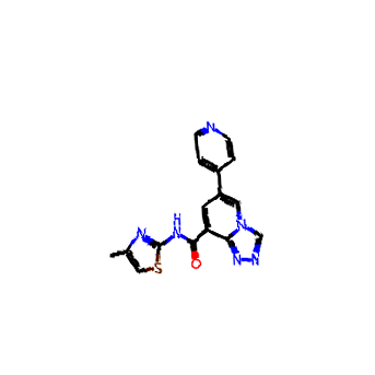 Cc1csc(NC(=O)c2cc(-c3ccncc3)cn3cnnc23)n1